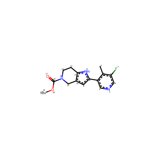 Cc1c(F)cncc1-c1cc2c([nH]1)CCN(C(=O)OC(C)(C)C)C2